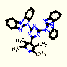 Cc1nc(C)c(C)c(-c2nc(-n3c4ccccc4n4c5ccccc5nc34)nc(-n3c4ccccc4n4c5ccccc5nc34)n2)c1C